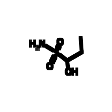 CCC(O)S(N)(=O)=O